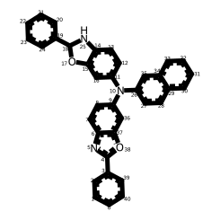 c1ccc(-c2nc3ccc(N(c4ccc5c(c4)OC(c4ccccc4)N5)c4ccc5ccccc5c4)cc3o2)cc1